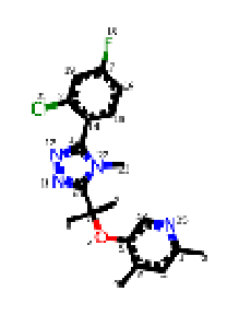 Cc1cc(C)c(OC(C)(C)c2nnc(-c3ccc(F)cc3Cl)n2C)cn1